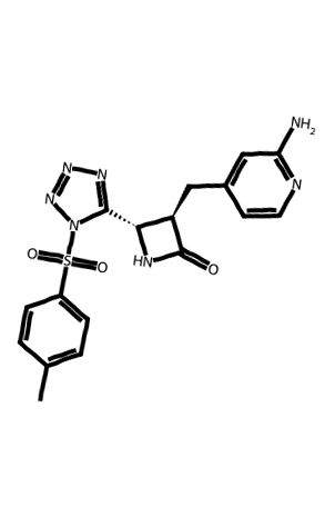 Cc1ccc(S(=O)(=O)n2nnnc2[C@H]2NC(=O)[C@@H]2Cc2ccnc(N)c2)cc1